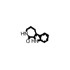 O=C1NCCCc2c1[nH]c1ccccc21